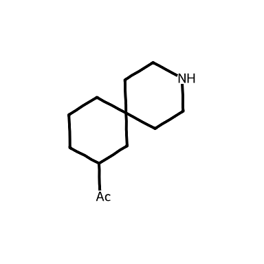 CC(=O)C1CCCC2(CCNCC2)C1